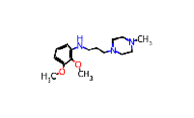 COc1cccc(NCCCN2CCN(C)CC2)c1OC